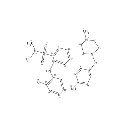 CN1CCN(Cc2ccc(Nc3cc(Nc4ccccc4S(=O)(=O)N(C)C)c(Cl)cn3)cc2)CC1